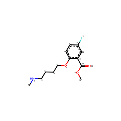 CNCCCCOc1ccc(F)cc1C(=O)OC